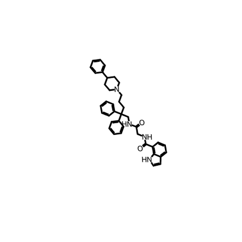 O=C(CNC(=O)c1cccc2cc[nH]c12)NCC(CCCN1CCC(c2ccccc2)CC1)(c1ccccc1)c1ccccc1